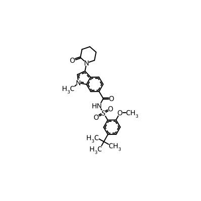 COc1ccc(C(C)(C)C)cc1S(=O)(=O)NC(=O)c1ccc2c(N3CCCCC3=O)cn(C)c2c1